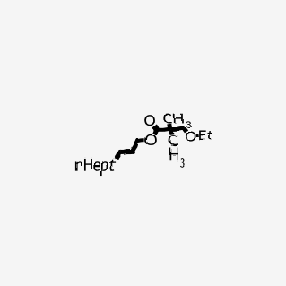 CCCCCCCCCCOC(=O)C(C)(C)COCC